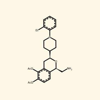 CCc1ccccc1N1CCC([C@@H]2Cc3c(ccc(OC(C)=O)c3OC(C)=O)[C@H](CN)O2)CC1